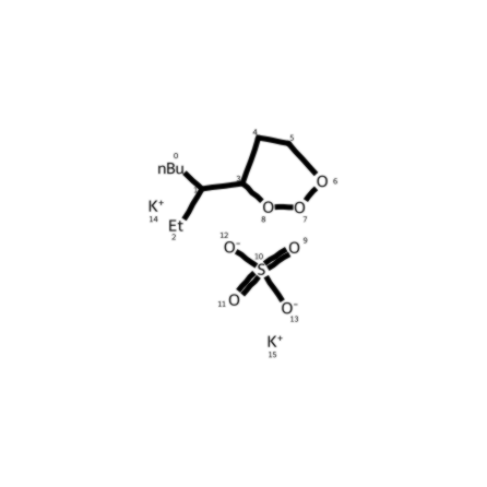 CCCCC(CC)C1CCOOO1.O=S(=O)([O-])[O-].[K+].[K+]